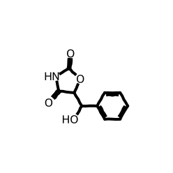 O=C1NC(=O)C(C(O)c2ccccc2)O1